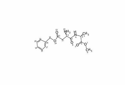 COC(=O)[C@H](C)NC(=O)[C@H](N)CC(=O)OCc1ccccc1